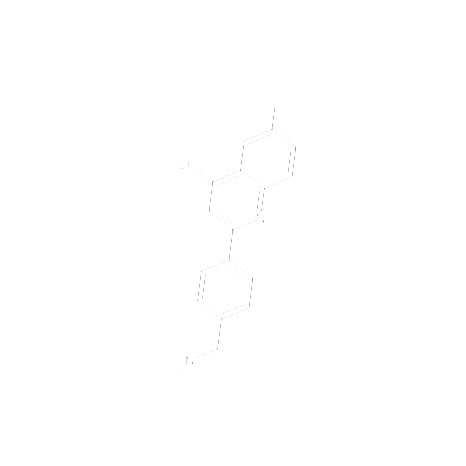 CCc1cc(-c2ccc(CN)cc2)nc2ccc(I)cc12